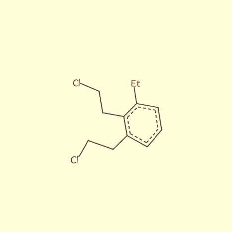 CCc1cccc(CCCl)c1CCCl